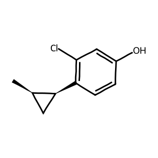 C[C@@H]1C[C@@H]1c1ccc(O)cc1Cl